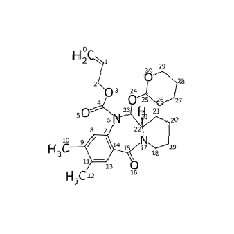 C=CCOC(=O)N1c2cc(C)c(C)cc2C(=O)N2CCCC[C@H]2C1OC1CCCCO1